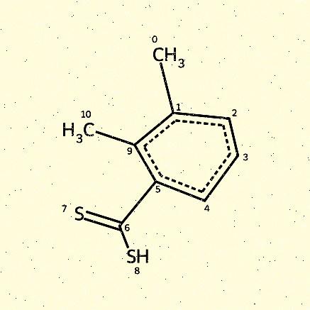 Cc1cccc(C(=S)S)c1C